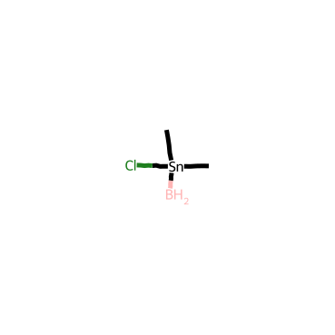 [BH2][Sn]([CH3])([CH3])[Cl]